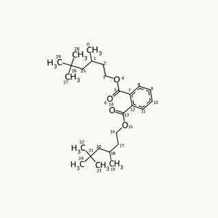 CC(CCOC(=O)c1ccccc1C(=O)OCCC(C)CC(C)(C)C)CC(C)(C)C